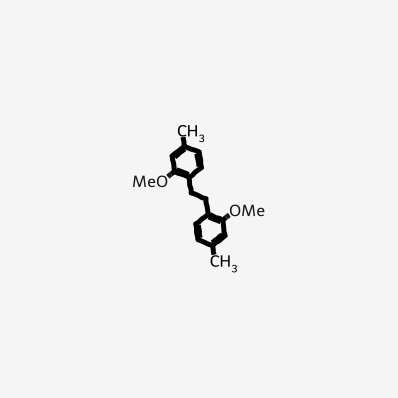 COc1cc(C)ccc1CCc1ccc(C)cc1OC